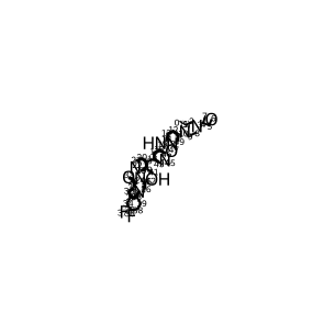 C[C@H]1CN(C2COC2)CCN1c1ccc(Nc2cc(-c3ccnc(-n4ccn5c6c(cc5c4=O)CC(F)(F)CC6)c3CO)cn(C)c2=O)nc1